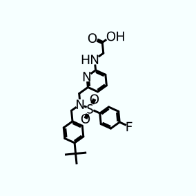 CC(C)(C)c1ccc(CN(Cc2cccc(NCC(=O)O)n2)S(=O)(=O)c2ccc(F)cc2)cc1